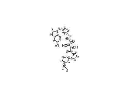 Cc1nc2cc(Cl)ccc2n1Cc1csc(CNC(=O)C(O)C(O)C(=O)N2CCCC2c2cccc(N(C)C)c2)n1